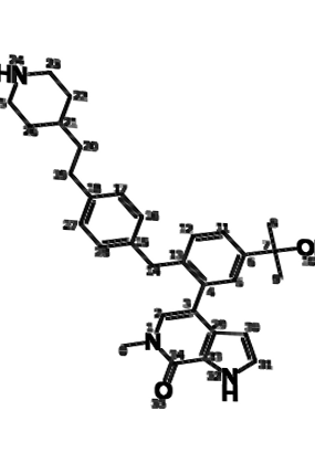 Cn1cc(-c2cc(C(C)(C)O)ccc2Cc2ccc(CCC3CCNCC3)cc2)c2cc[nH]c2c1=O